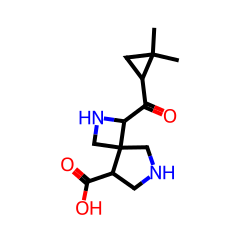 CC1(C)CC1C(=O)C1NCC12CNCC2C(=O)O